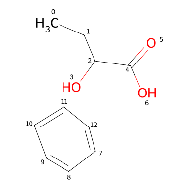 CCC(O)C(=O)O.c1ccccc1